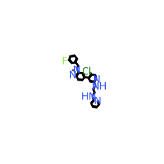 Fc1cccc(Cn2cnc3ccc(-c4cc(NCCNc5ccccn5)ncc4Cl)cc32)c1